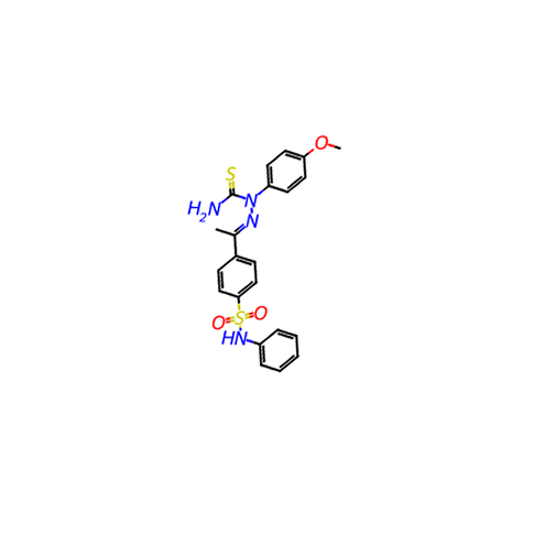 COc1ccc(N(/N=C(\C)c2ccc(S(=O)(=O)Nc3ccccc3)cc2)C(N)=S)cc1